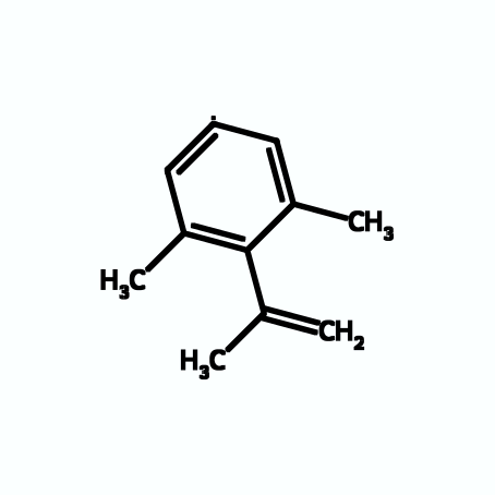 C=C(C)c1c(C)c[c]cc1C